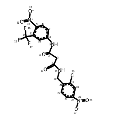 O=C(CC(=O)Nc1ccc([N+](=O)[O-])c(C(F)(F)F)c1)NCc1ccc([N+](=O)[O-])cc1Cl